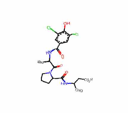 CCC(C)C(NC(=O)c1cc(Cl)c(O)c(Cl)c1)C(=O)N1CCCC1C(=O)NC(C=O)CC(=O)O